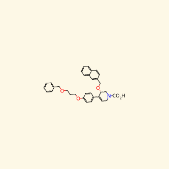 O=C(O)N1CC=C(c2ccc(OCCCOCc3ccccc3)cc2)[C@H](OCc2ccc3ccccc3c2)C1